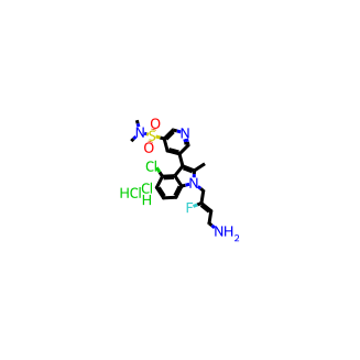 Cc1c(-c2cncc(S(=O)(=O)N(C)C)c2)c2c(Cl)cccc2n1CC(F)=CCN.Cl.Cl